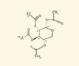 CC(=O)O[C@@H]1OC[C@H](OC(C)=O)[C@@H](OC(C)=O)[C@@H]1OC(C)=O